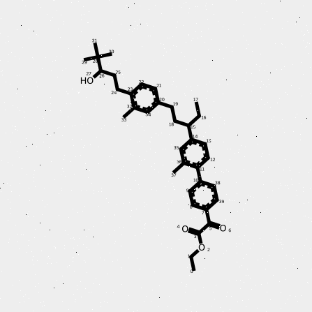 CCOC(=O)C(=O)c1ccc(-c2ccc(C(CC)CCc3ccc(CCC(O)C(C)(C)C)c(C)c3)cc2C)cc1